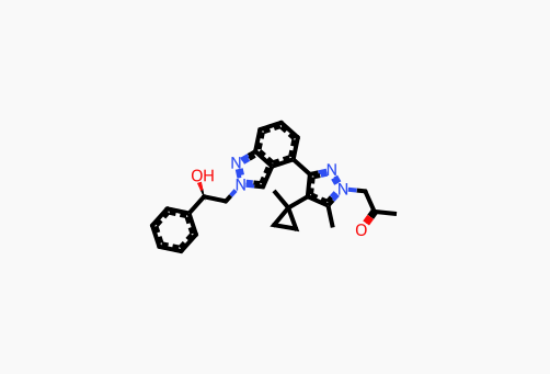 CC(=O)Cn1nc(-c2cccc3nn(C[C@H](O)c4ccccc4)cc23)c(C2(C)CC2)c1C